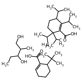 CC(C)(C)C1CCCC=C1C(=O)O.CC(C)C1=C(C(=O)O)C(C(C)C)(C(C)C)CCC1C(C)C.CCC(O)C(C)CO